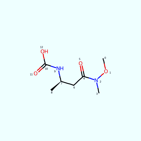 CON(C)C(=O)C[C@@H](C)NC(=O)O